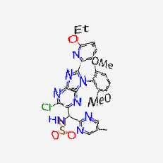 CCOc1cccc(-c2nc3nc(Cl)c(C(N[SH](=O)=O)c4ncc(C)cn4)nc3n2-c2c(OC)cccc2OC)n1